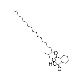 CCCCCCCCCCCCCCCCC(OC(=O)C1CCCCC1C(=O)O)C(C)C